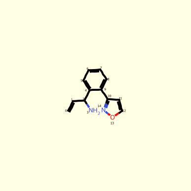 C=CC(N)c1ccccc1-c1ccon1